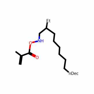 C=C(C)C(=O)ONCC(CC)CCCCCCCCCCCCCCCC